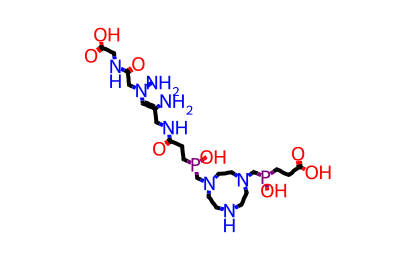 N/C(=C\N(N)CC(=O)NCC(=O)O)CNC(=O)CCP(O)CN1CCNCCN(CP(O)CCC(=O)O)CC1